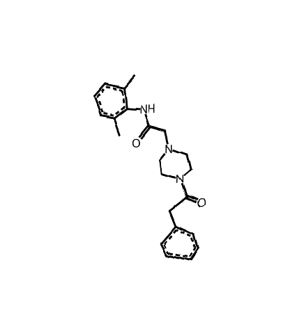 Cc1cccc(C)c1NC(=O)CN1CCN(C(=O)Cc2ccccc2)CC1